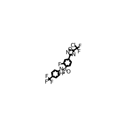 CP(=O)(Nc1ccc(C(F)(F)F)cc1)c1ccc(-c2noc(C(F)(F)Cl)n2)cc1F